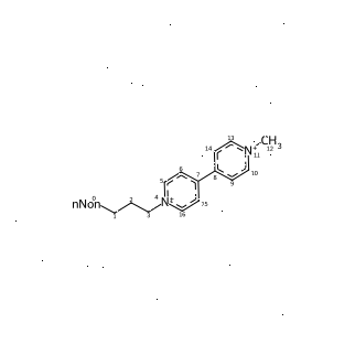 CCCCCCCCCCCC[n+]1ccc(-c2cc[n+](C)cc2)cc1